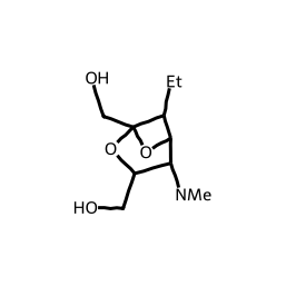 CCC1C2OC1(CO)OC(CO)C2NC